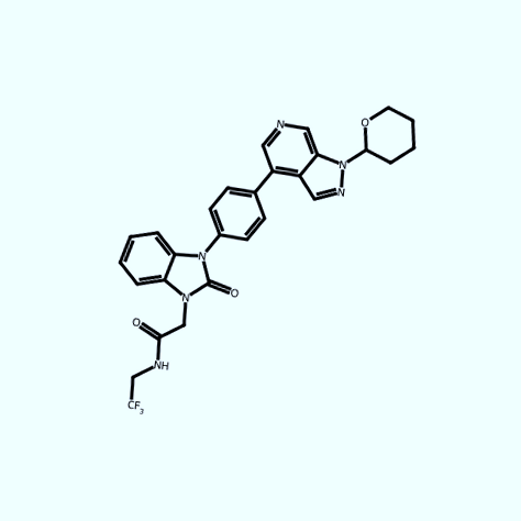 O=C(Cn1c(=O)n(-c2ccc(-c3cncc4c3cnn4C3CCCCO3)cc2)c2ccccc21)NCC(F)(F)F